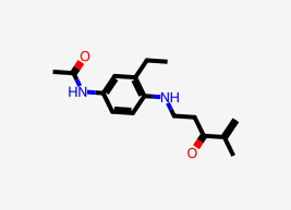 C=C(C)C(=O)CCNc1ccc(NC(C)=O)cc1CC